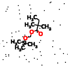 CCC(C)(C)C(=O)OCO[Si](C)(C)C